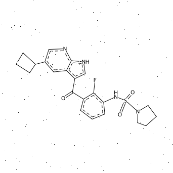 O=C(c1cccc(NS(=O)(=O)N2CCCC2)c1F)c1c[nH]c2ncc(C3CCC3)cc12